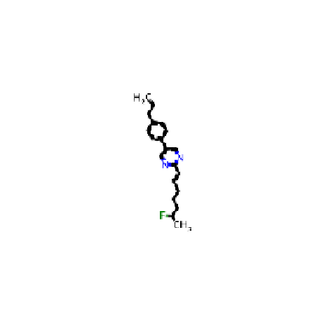 C=CCc1ccc(-c2cnc(C=CCCCC(C)F)nc2)cc1